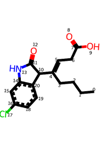 CCCC/C(=C\CC(=O)O)C1C(=O)Nc2cc(Cl)ccc21